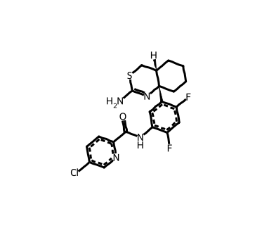 NC1=N[C@@]2(c3cc(NC(=O)c4ccc(Cl)cn4)c(F)cc3F)CCCC[C@H]2CS1